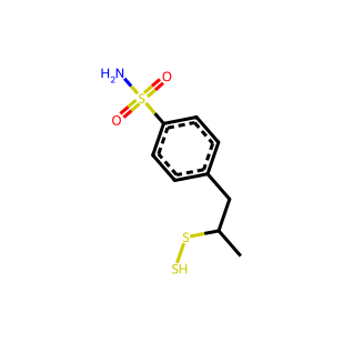 CC(Cc1ccc(S(N)(=O)=O)cc1)SS